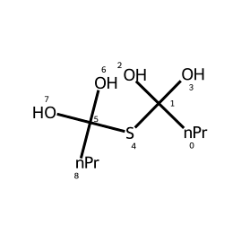 CCCC(O)(O)SC(O)(O)CCC